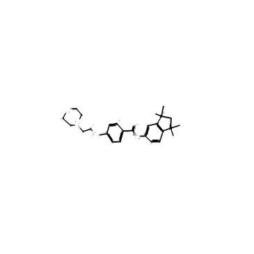 CC1(C)CC(C)(C)c2cc(NC(=O)c3ccc(OCCN4CCOCC4)cc3)ccc21